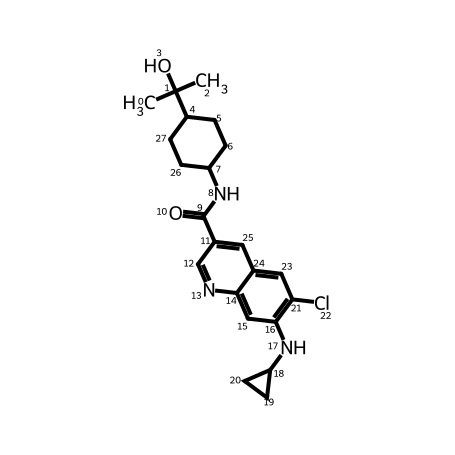 CC(C)(O)C1CCC(NC(=O)c2cnc3cc(NC4CC4)c(Cl)cc3c2)CC1